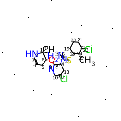 C[C@H]1NC=CC[C@H]1OC1=NC[C@H](Cl)C[C@@H]1N(N)S[C@@H]1CCCC(Cl)[C@@H]1C